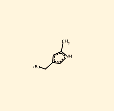 Cc1cc(CC(C)(C)C)c[nH]1